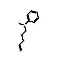 C=CCCCN(C)c1ccccc1